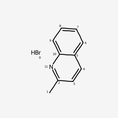 Br.Cc1ccc2ccccc2n1